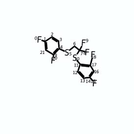 Fc1ccc(SCC(F)(F)Sc2ccc(F)cc2F)c(F)c1